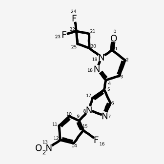 O=c1ccc(-c2cnn(-c3ccc([N+](=O)[O-])cc3F)c2)nn1C1CC(F)(F)C1